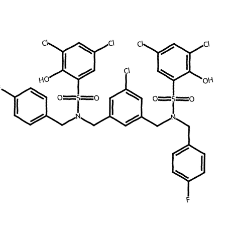 O=S(=O)(c1cc(Cl)cc(Cl)c1O)N(Cc1ccc(F)cc1)Cc1cc(Cl)cc(CN(Cc2ccc(F)cc2)S(=O)(=O)c2cc(Cl)cc(Cl)c2O)c1